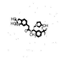 CN(C(=O)Cc1ccc2c(c1)NS(O)(O)C2)[C@H](CN1CCC(O)C1)c1cccc(C(F)(F)F)c1